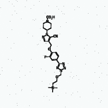 C[Si](C)(C)CCOCn1nnc(-c2ccc(OCc3cnn(C4CCN(C(=O)O)CC4)c3C#N)c(F)c2)n1